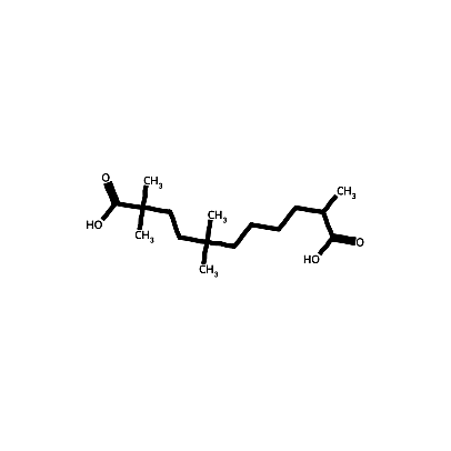 CC(CCCCC(C)(C)CCC(C)(C)C(=O)O)C(=O)O